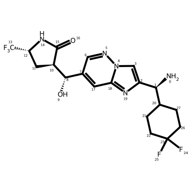 N[C@H](c1cn2ncc([C@H](O)[C@H]3C[C@H](C(F)(F)F)NC3=O)cc2n1)C1CCC(F)(F)CC1